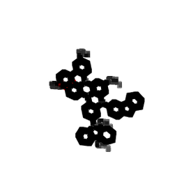 Cc1cc2c3c(c1)N(c1ccc(C(C)(C)C)cc1-c1ccccc1)c1cc(C(C)(C)C)ccc1B3c1ccc(N3c4ccccc4C4(C)CCCCC34C)cc1N2c1ccc2c(c1)-c1ccccc1C2